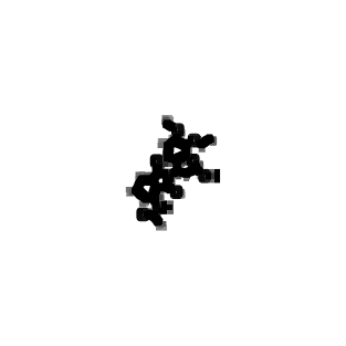 CCOc1cc(C(CC(=O)O)N2C(=O)c3cccc(NC(C)=O)c3C2=O)ccc1OC